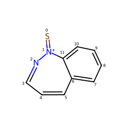 S=[n+]1ncccc2ccccc21